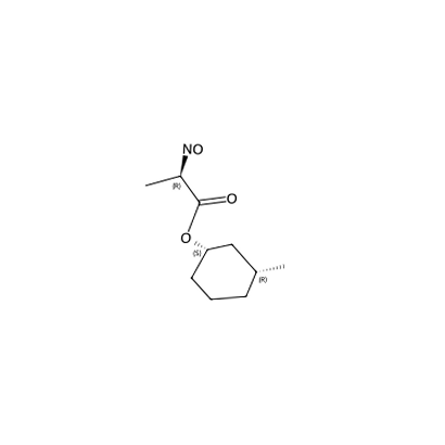 C[C@@H]1CCC[C@H](OC(=O)[C@@H](C)N=O)C1